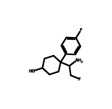 NC(CF)C1(c2ccc(F)cc2)CCC(O)CC1